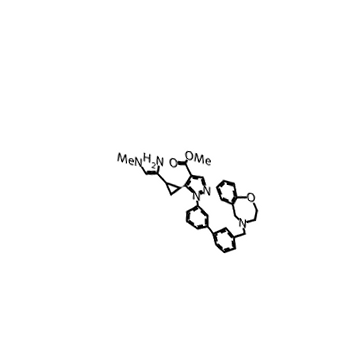 CN/C=C(\N)C1C[C@H]1c1c(C(=O)OC)cnn1-c1cccc(-c2cccc(CN3CCOc4ccccc4C3)c2)c1